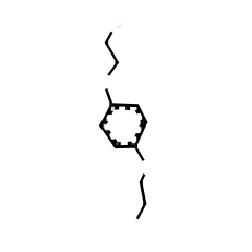 SCCOc1ccc(OCCS)cc1